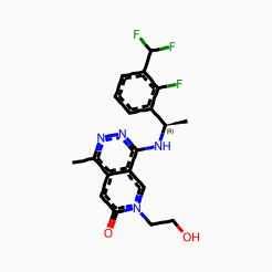 Cc1nnc(N[C@H](C)c2cccc(C(F)F)c2F)c2cn(CCO)c(=O)cc12